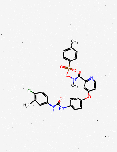 Cc1ccc(S(=O)(=O)ON(C)C(=O)c2cc(Oc3ccc(NC(=O)Nc4ccc(Cl)c(C)c4)cc3)ccn2)cc1